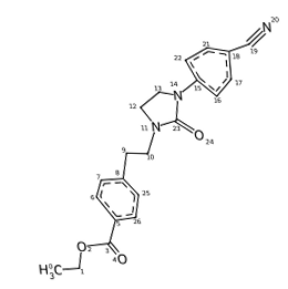 CCOC(=O)c1ccc(CCN2CCN(c3ccc(C#N)cc3)C2=O)cc1